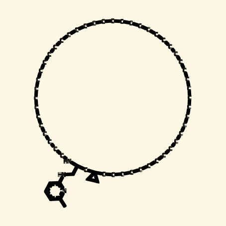 Cc1cccc(NCC2CC3(CCCCCCCCCCCCCCCCCCCCCCCCCCCCCCCCCCCCCCCCCCCCCCCCN2)CC3)n1